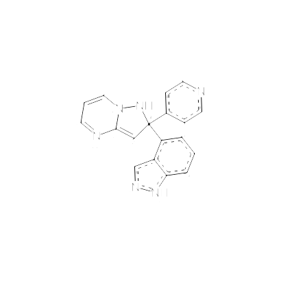 C1=CN2NC(c3ccncc3)(c3cccc4[nH]ncc34)C=C2N=C1